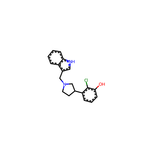 Oc1cccc(C2CCN(Cc3c[nH]c4ccccc34)C2)c1Cl